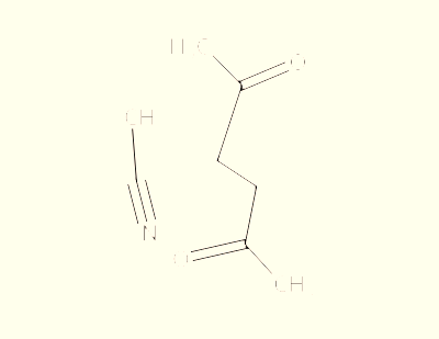 CC#N.CC(=O)CCC(C)=O